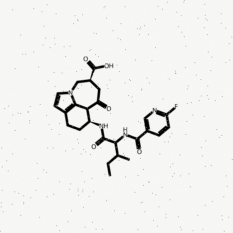 CCC(C)C(NC(=O)c1ccc(F)nc1)C(=O)N[C@H]1CCc2ccn3c2C1C(=O)C[C@H](C(=O)O)C3